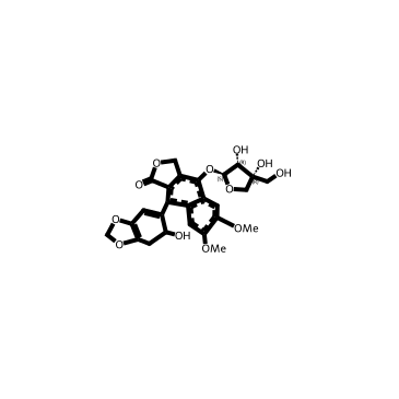 COc1cc2c(O[C@@H]3OC[C@](O)(CO)[C@H]3O)c3c(c(C4=CC5=C(CC4O)OCO5)c2cc1OC)C(=O)OC3